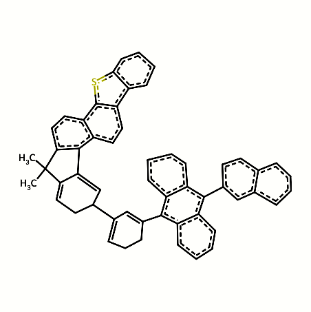 CC1(C)C2=CCC(C3=CCCC(c4c5ccccc5c(-c5ccc6ccccc6c5)c5ccccc45)=C3)C=C2c2c1ccc1c2ccc2c3ccccc3sc12